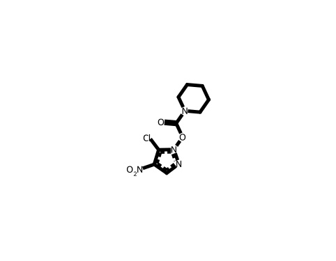 O=C(On1ncc([N+](=O)[O-])c1Cl)N1CCCCC1